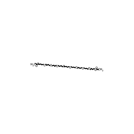 C=CC(=O)OCCCCOCCCCOCCCCOCCCCOCCCCOCCCCOCCCCOCCCCOCCCCOC(=O)C=C